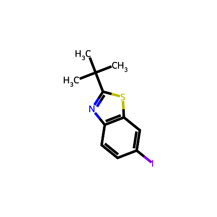 CC(C)(C)c1nc2ccc(I)cc2s1